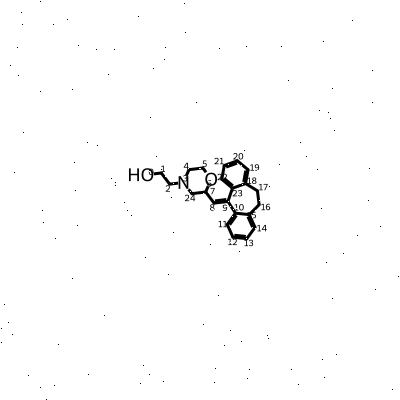 OCCN1CCOC(C=C2c3ccccc3CCc3ccccc32)C1